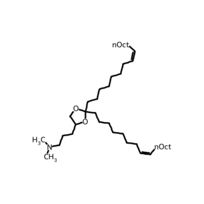 CCCCCCCC/C=C\CCCCCCCC1(CCCCCCC/C=C\CCCCCCCC)OCC(CCCN(C)C)O1